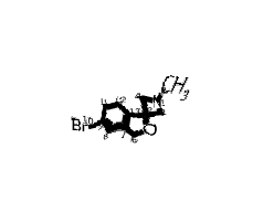 CN1CC2(C1)OCc1cc(Br)ccc12